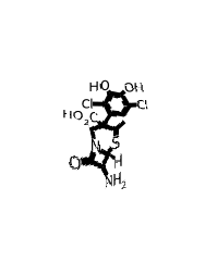 CC1S[C@@H]2C(N)C(=O)N2CC1(C(=O)O)c1cc(Cl)c(O)c(O)c1Cl